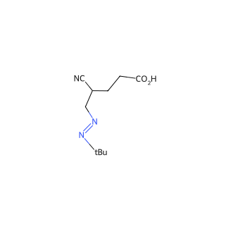 CC(C)(C)N=NCC(C#N)CCC(=O)O